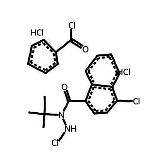 CC(C)(C)N(NCl)C(=O)c1ccc(Cl)c2ccccc12.Cl.Cl.O=C(Cl)c1ccccc1